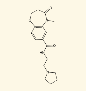 CN1C(=O)CCOc2ccc(C(=O)NCCN3CCCC3)cc21